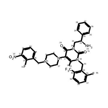 Cc1c(N2CCN(Cc3cccc([N+](=O)[O-])c3F)CC2)c(=O)n(C[C@H](N)c2ccccc2)c(=O)n1Cc1c(F)cccc1C(F)(F)F